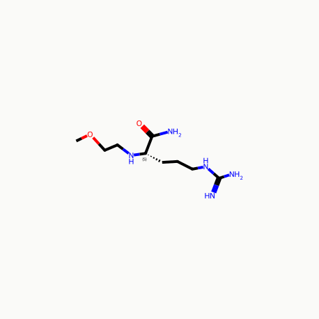 COCCN[C@@H](CCCNC(=N)N)C(N)=O